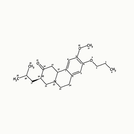 CCCOc1cc2c(cc1OC)C1CC(=O)[C@H](CC(C)C)CN1CC2